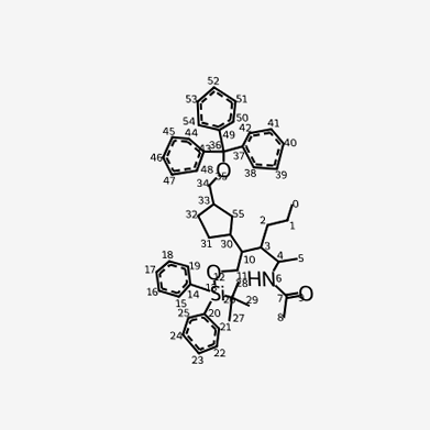 CCCC(C(C)NC(C)=O)C(CO[Si](c1ccccc1)(c1ccccc1)C(C)(C)C)C1CCC(COC(c2ccccc2)(c2ccccc2)c2ccccc2)C1